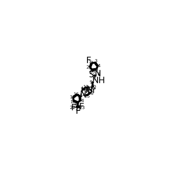 Br.Fc1ccc2nc(NCCN3CCN(c4cccc(C(F)(F)F)c4)CC3)sc2c1